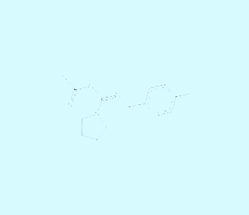 N=C(N)N/C(=N/Cc1ccc(Cl)cc1)N1CCCC1